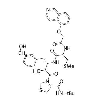 CO.CSC[C@H](NC(=O)COc1cccc2cnccc12)C(=O)N[C@@H](Cc1ccccc1)[C@H](O)C(=O)N1CSC[C@H]1C(=O)NC(C)(C)C